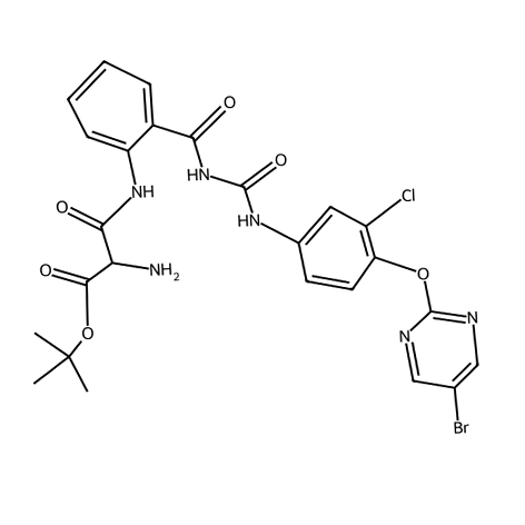 CC(C)(C)OC(=O)C(N)C(=O)Nc1ccccc1C(=O)NC(=O)Nc1ccc(Oc2ncc(Br)cn2)c(Cl)c1